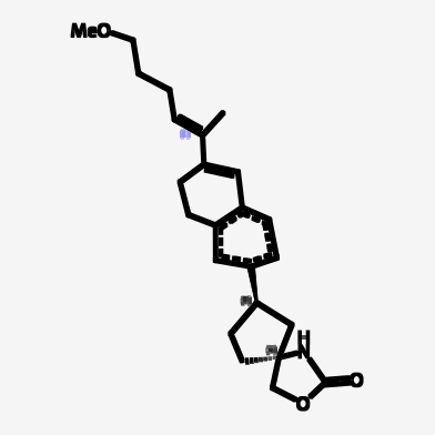 COCCC/C=C(\C)C1=Cc2ccc([C@@H]3CC[C@]4(COC(=O)N4)C3)cc2CC1